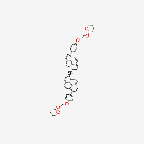 C[Si](C)(c1ccc2ccc3c(-c4ccc(OCCOC5CCCCO5)cc4)ccc4ccc1c2c43)c1ccc2ccc3c(-c4ccc(OCCOC5CCCCO5)cc4)ccc4ccc1c2c43